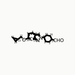 O=CC1CCC(n2cc3ccc(OCC4CC4)cc3n2)CC1